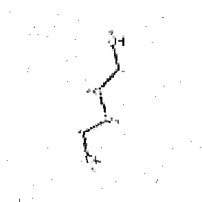 OCOOCO